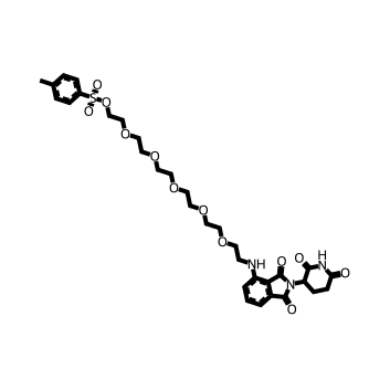 Cc1ccc(S(=O)(=O)OCCOCCOCCOCCOCCOCCNc2cccc3c2C(=O)N(C2CCC(=O)NC2=O)C3=O)cc1